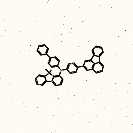 CC1(C)c2ccccc2-c2cccc(N(c3ccc(-c4ccccc4)cc3)c3ccc(-c4cc5c6c(cccc6c4)-c4ccccc4-5)cc3)c21